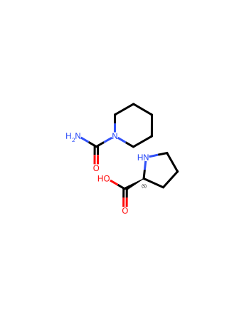 NC(=O)N1CCCCC1.O=C(O)[C@@H]1CCCN1